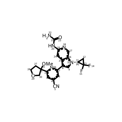 COC1(c2cc(C#N)cc(-c3cn([C@@H]4CC4(F)F)c4cnc(NC(N)=O)cc34)n2)CCOC1